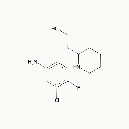 Nc1ccc(F)c(Cl)c1.OCCC1CCCCN1